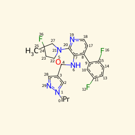 CC(C)n1cc(C(=O)Nc2c(-c3cc(F)ccc3F)ccnc2N2CCC(C)(F)C2)cn1